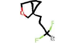 CCC(F)(F)CCC12COCC1C2